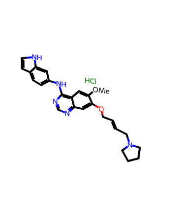 COc1cc2c(Nc3ccc4cc[nH]c4c3)ncnc2cc1OCC=CCN1CCCC1.Cl